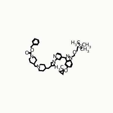 CC1(Oc2ccc3c(c2)c(-c2ccnc(N4CC(CC5CCN(CC6CCN(C(=O)OCc7ccccc7)CC6)CC5)C4)c2)nn3COCC[Si](C)(C)C)CC1